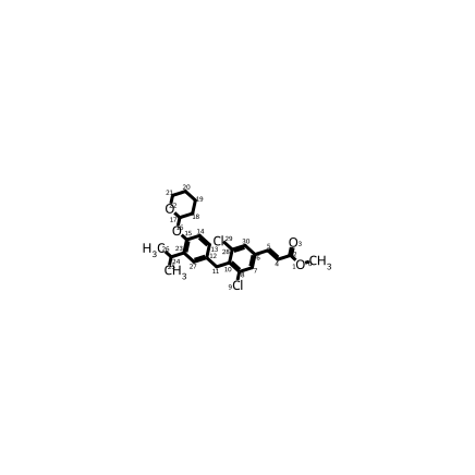 COC(=O)/C=C/c1cc(Cl)c(Cc2ccc(OC3CCCCO3)c(C(C)C)c2)c(Cl)c1